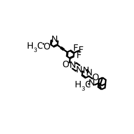 CCOc1cncc(C#Cc2cc(C(=O)N3CCN(c4ccc(C(=O)N(C)CC56CC7CC(CC(C7)C5)C6)nn4)CC3)cc(C(F)(F)F)c2)c1